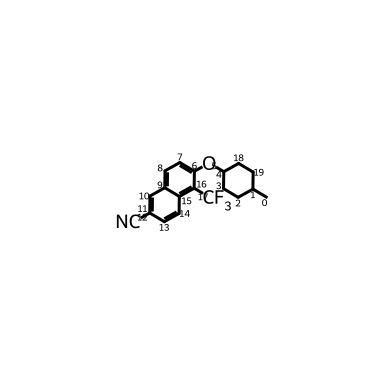 CC1CCC(Oc2ccc3cc(C#N)ccc3c2C(F)(F)F)CC1